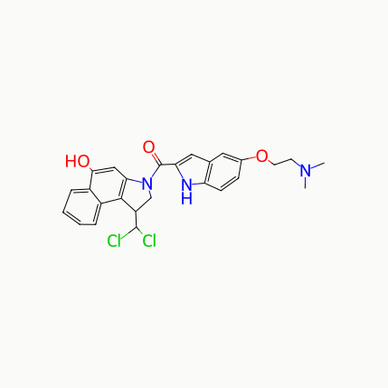 CN(C)CCOc1ccc2[nH]c(C(=O)N3CC(C(Cl)Cl)c4c3cc(O)c3ccccc43)cc2c1